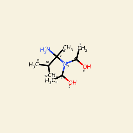 CC(O)N(C(C)O)C(C)(N)C(C)C